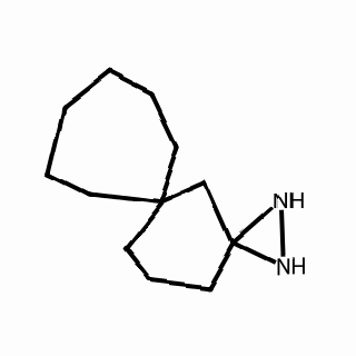 C1CCCC2(CC1)CCCC1(C2)NN1